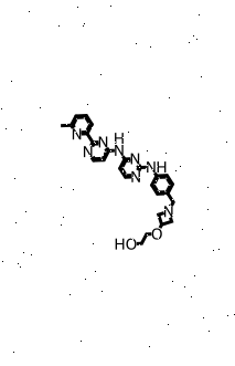 Cc1cccc(-c2nccc(Nc3ccnc(Nc4ccc(CN5CC(OCCO)C5)cc4)n3)n2)n1